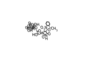 CC(OCc1cn([C@H]2C[C@H](O)[C@@H](COP(=O)(O)OP(=O)(O)OP(=O)(O)O)O2)c(=O)[nH]c1=O)c1ccccc1[N+](=O)[O-]